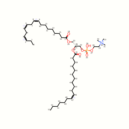 CC/C=C\C/C=C\C/C=C\CCCCCCCC(=O)OC[C@H](COP(=O)(O)OCC[N+](C)(C)C)OC(=O)CCCCCCCCC/C=C\CCCCCC